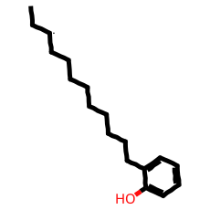 CC[CH]CCCCCCCCCc1ccccc1O